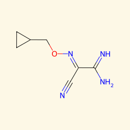 N#CC(=NOCC1CC1)C(=N)N